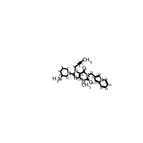 CC#CCn1c(N2CCCC(N)C2)nc2c1c(=O)n(Cc1cc3ccccn3c1)c(=O)n2C